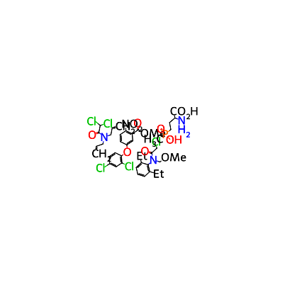 C=CCN(CC=C)C(=O)C(Cl)Cl.CCc1cccc(CC)c1N(COC)C(=O)CCl.COC(=O)c1cc(Oc2ccc(Cl)cc2Cl)ccc1[N+](=O)[O-].CP(=O)(O)CCC(N)C(=O)O